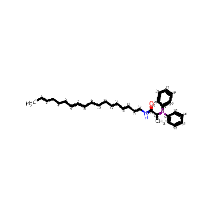 CCCCCCCCCCCCCCCCCCNC(=O)C(C)P(c1ccccc1)c1ccccc1